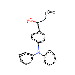 CCCCCCCCCCCC(O)c1ccc(N(c2ccccc2)c2ccccc2)cc1